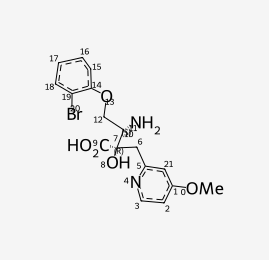 COc1ccnc(C[C@](O)(C(=O)O)[C@@H](N)COc2ccccc2Br)c1